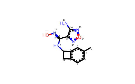 Cc1ccc2c(c1)C(N/C(=N\O)c1nonc1N)C2